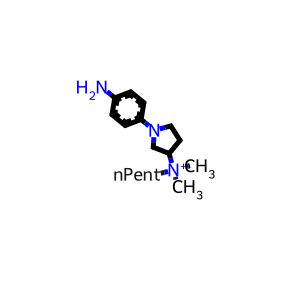 CCCCC[N+](C)(C)C1CCN(c2ccc(N)cc2)C1